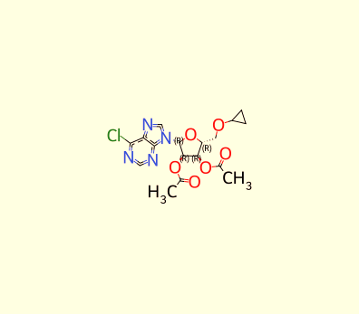 CC(=O)O[C@@H]1[C@H](OC(C)=O)[C@@H](COC2CC2)O[C@H]1n1cnc2c(Cl)ncnc21